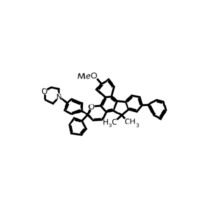 COc1ccc2c3c(c4c(c2c1)OC(c1ccccc1)(c1ccc(N2CCOCC2)cc1)C=C4)C(C)(C)c1cc(-c2ccccc2)ccc1-3